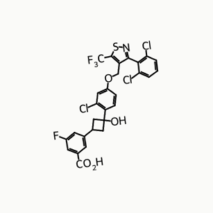 O=C(O)c1cc(F)cc(C2CC(O)(c3ccc(OCc4c(-c5c(Cl)cccc5Cl)nsc4C(F)(F)F)cc3Cl)C2)c1